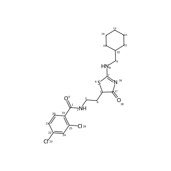 O=C(NCCC1SC(NCC2CCCCC2)=NC1=O)c1ccc(Cl)cc1Cl